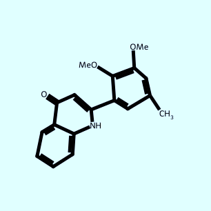 COc1cc(C)cc(-c2cc(=O)c3ccccc3[nH]2)c1OC